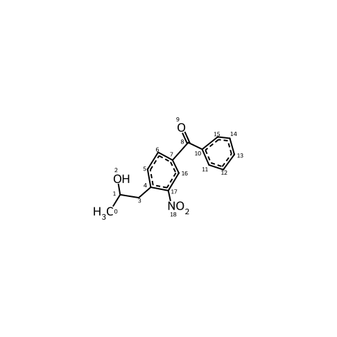 CC(O)Cc1ccc(C(=O)c2ccccc2)cc1[N+](=O)[O-]